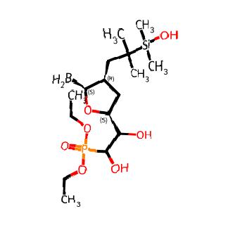 B[C@@H]1O[C@H](C(O)C(O)P(=O)(OCC)OCC)C[C@@H]1CC(C)(C)[Si](C)(C)O